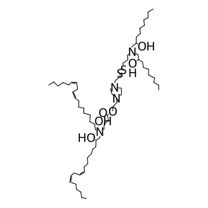 CCCCC/C=C\C/C=C\CCCCCC[C@@H](O)CN(CCCC(=O)OCCN1CCN(CCSSCCCN(CC(O)CCCCCCCC)CC(O)CCCCCCCC)CC1)C[C@H](O)CCCCCC/C=C\C/C=C\CCCCC